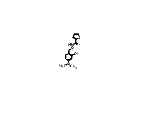 CN(C)c1ccc(/C=N/NC(=O)c2cccs2)c(O)c1